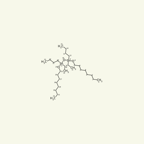 CCCCCCCC[O][Sn]([CH2]C)([CH2]CCC)[O][Sn]([CH2]C)([CH2]CCC)[O]CCCCCCCC